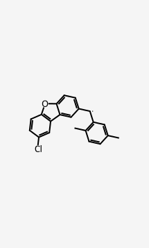 Cc1ccc(C)c([CH]c2ccc3oc4ccc(Cl)cc4c3c2)c1